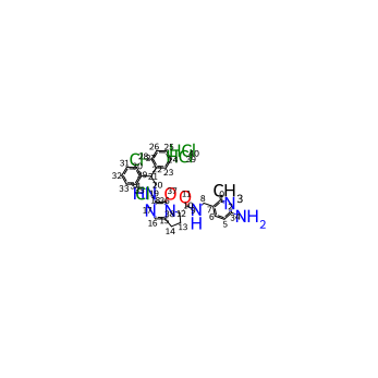 Cc1nc(N)ccc1CNC(=O)[C@@H]1CCc2cnc(NCC(c3ccccc3Cl)c3ccccc3Cl)c(=O)n21.Cl.Cl